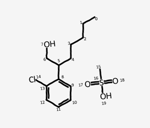 CCCCCC(CO)c1ccccc1Cl.CS(=O)(=O)O